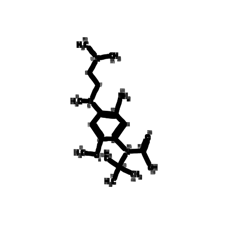 COc1cc(N(C)CCN(C)C)c(N)cc1N(C(=O)O)C(C)(C)C